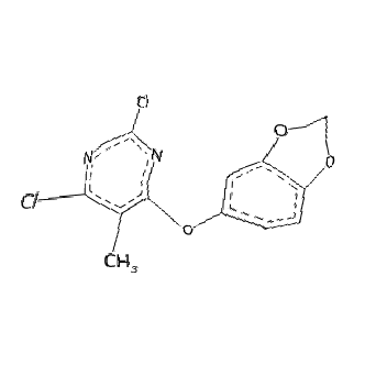 Cc1c(Cl)nc(Cl)nc1Oc1ccc2c(c1)OCO2